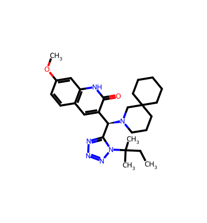 CCC(C)(C)n1nnnc1[C@@H](c1cc2ccc(OC)cc2[nH]c1=O)N1CCCC2(CCCCC2)C1